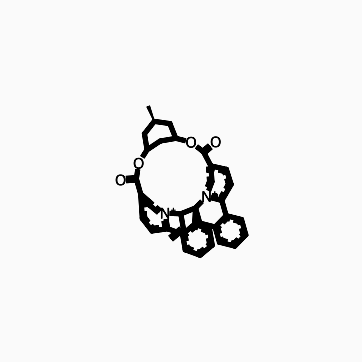 C=CC1[n+]2cc3ccc2-c2ccccc2C12Cc1ccccc1-c1ccc(c[n+]12)C(=O)OC1CC(C[C@@H](C)C1)OC3=O